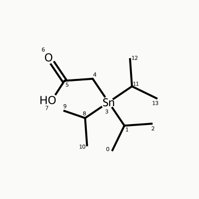 C[CH](C)[Sn]([CH2]C(=O)O)([CH](C)C)[CH](C)C